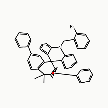 CC1(C)c2ccc(-c3ccccc3)cc2C2(c3ccccc3N(Cc3ccccc3Br)c3ccccc32)c2cc(-c3ccccc3)ccc21